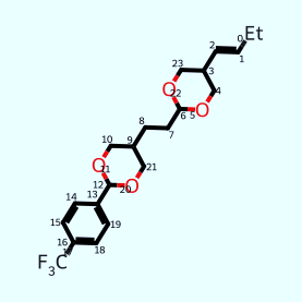 CCC=CC1COC(CCC2COC(c3ccc(C(F)(F)F)cc3)OC2)OC1